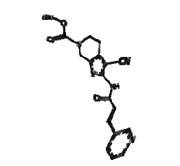 CC(C)(C)OC(=O)N1CCc2c(sc(NC(=O)/C=C/c3cccnc3)c2C#N)C1